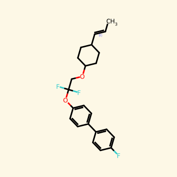 C/C=C/C1CCC(OCC(F)(F)Oc2ccc(-c3ccc(F)cc3)cc2)CC1